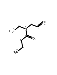 C=CCN(CC)C(=O)CCN